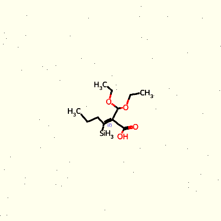 CCC/C([SiH3])=C(/C(=O)O)C(OCC)OCC